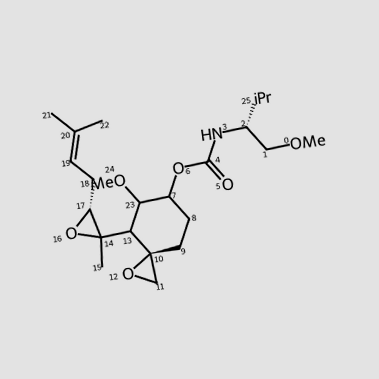 COC[C@H](NC(=O)OC1CC[C@]2(CO2)C(C2(C)O[C@@H]2CC=C(C)C)C1OC)C(C)C